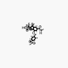 CNC(=O)c1cc(OCc2ccc(S(C)(=O)=O)cc2)c2sc(C(F)(F)P(=O)(O)O)c(Br)c2c1